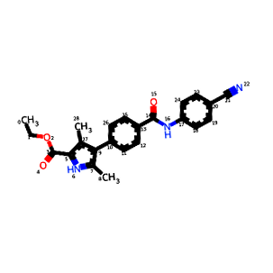 CCOC(=O)c1[nH]c(C)c(-c2ccc(C(=O)Nc3ccc(C#N)cc3)cc2)c1C